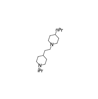 CCCC1CCN(CCC2CCN(C(C)C)CC2)CC1